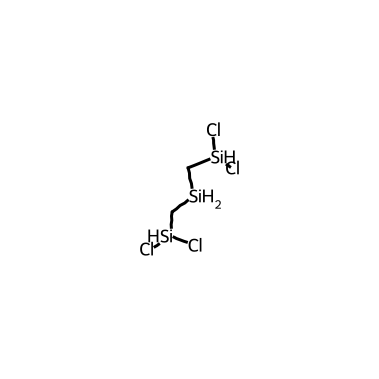 Cl[SiH](Cl)C[SiH2]C[SiH](Cl)Cl